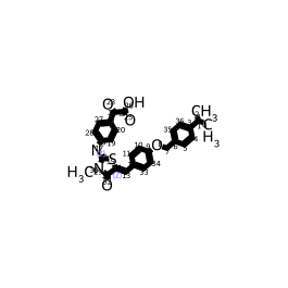 CC(C)c1ccc(COc2ccc(/C=C3\S/C(=N\c4ccc(C(=O)C(=O)O)cc4)N(C)C3=O)cc2)cc1